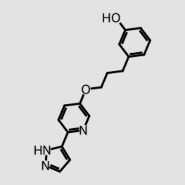 Oc1cccc(CCCOc2ccc(-c3ccn[nH]3)nc2)c1